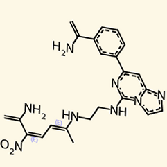 C=C(N)/C(=C\C=C(/C)NCCNc1nc(-c2cccc(C(=C)N)c2)cc2nccn12)[N+](=O)[O-]